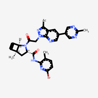 CC(=O)c1nn(CC(=O)N2[C@H](C(=O)Nc3nc(Br)ccc3C)C[C@@]3(C)C#C[C@@H]23)c2ncc(-c3cnc(C)nc3)cc12